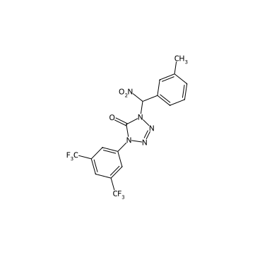 Cc1cccc(C(n2nnn(-c3cc(C(F)(F)F)cc(C(F)(F)F)c3)c2=O)[N+](=O)[O-])c1